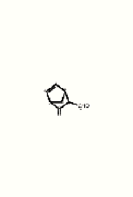 O=CC1NC2C=CC1C2